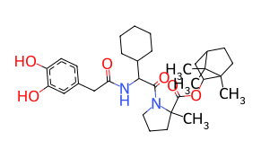 CC1(C(=O)OC2CC3CCC2(C)C3(C)C)CCCN1C(=O)C(NC(=O)Cc1ccc(O)c(O)c1)C1CCCCC1